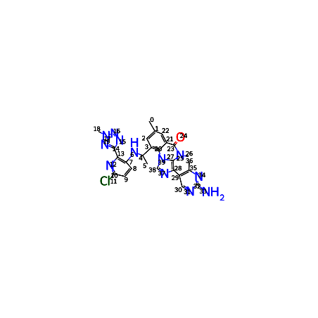 Cc1cc(C(C)Nc2ccc(Cl)nc2-c2nnn(C)n2)c2c(c1)c(=O)n(C)c1c(-c3cnc(N)nc3C)ncn21